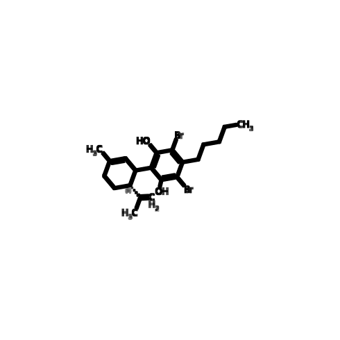 C=C(C)[C@@H]1CCC(C)=CC1c1c(O)c(Br)c(CCCCC)c(Br)c1O